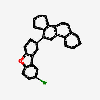 Brc1ccc2oc3ccc(-c4cc5c6ccccc6ccc5c5ccccc45)cc3c2c1